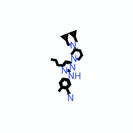 CCCc1cc(N2CCC[C@@H](N(CC3CC3)CC3CC3)C2)nc(Nc2ccc(C)c(C#N)c2)n1